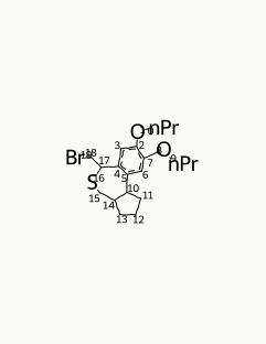 CCCOc1cc2c(cc1OCCC)C1CCCC1CSC2CBr